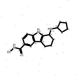 CCNC(=O)c1ccc2[nH]c3c(c2c1)CCCC3NC1CCCC1